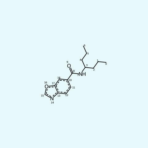 CCCC(CCC)NC(=O)c1ccc2ncoc2c1